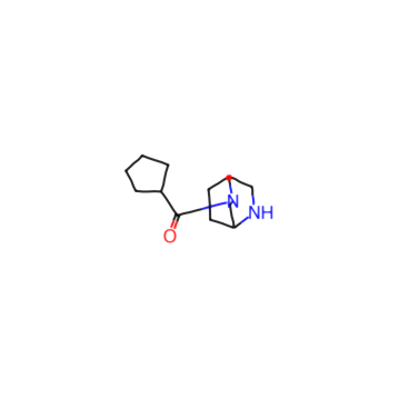 O=C(C1CCCC1)N1CC2CCC(C1)NC2